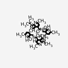 Cc1cc(C(=O)NCc2c(C)cc(C)[nH]c2=O)c2c(C)nn(C)c2n1.Cc1cc(C(=O)NCc2c(C)cc(C)[nH]c2=O)c2cnn(C(C)C)c2n1